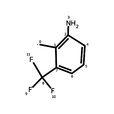 [CH2]c1c(N)cccc1C(F)(F)F